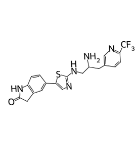 NC(CNc1ncc(-c2ccc3c(c2)CC(=O)N3)s1)Cc1ccc(C(F)(F)F)nc1